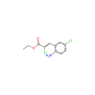 CCOC(=O)/C(Cl)=C/c1cc(Cl)ccc1N